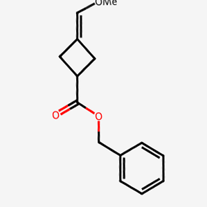 COC=C1CC(C(=O)OCc2ccccc2)C1